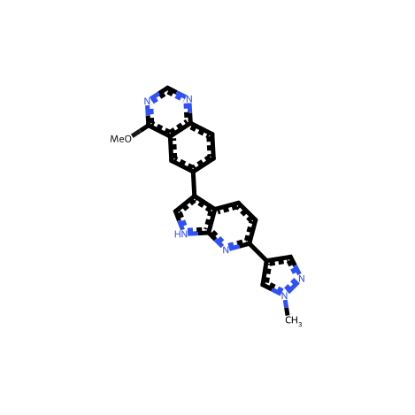 COc1ncnc2ccc(-c3c[nH]c4nc(-c5cnn(C)c5)ccc34)cc12